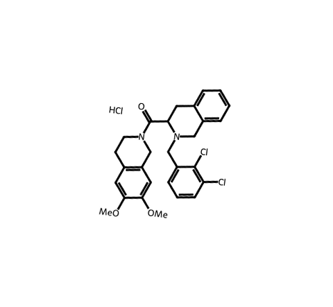 COc1cc2c(cc1OC)CN(C(=O)C1Cc3ccccc3CN1Cc1cccc(Cl)c1Cl)CC2.Cl